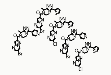 CC1c2nnc(-c3cccs3)n2CCN1C(=O)c1cc2ncc(Br)cn2n1.CC1c2nnc(-c3cccs3)n2CCN1C(=O)c1cc2ncc(Cl)cn2n1.CC1c2nnc(-c3ccncc3)n2CCN1C(=O)c1cc2ncc(Br)cn2n1.O=C(c1cc2ncc(Br)cn2n1)N1CCn2c(nnc2-c2ccncc2)C1.O=C(c1cc2ncc(Cl)cn2n1)N1CCn2c(nnc2-c2cccs2)C1